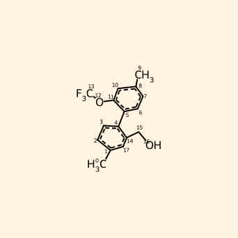 Cc1ccc(-c2ccc(C)cc2OC(F)(F)F)c(CO)c1